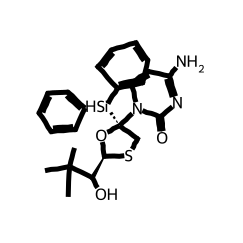 CC(C)(C)C(O)[C@H]1O[C@](n2ccc(N)nc2=O)([SiH](c2ccccc2)c2ccccc2)CS1